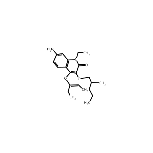 CC=C(CC)Oc1c(OCC(C)CCC)c(=O)n(CC)c2cc(N)ccc12